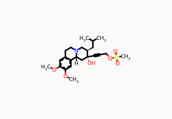 COc1cc2c(cc1OC)[C@H]1C[C@](O)(C#CCOS(C)(=O)=O)[C@H](CC(C)C)CN1CC2